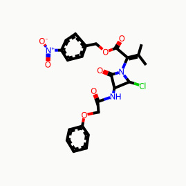 CC(C)=C(C(=O)OCc1ccc([N+](=O)[O-])cc1)N1C(=O)C(NC(=O)COc2ccccc2)C1Cl